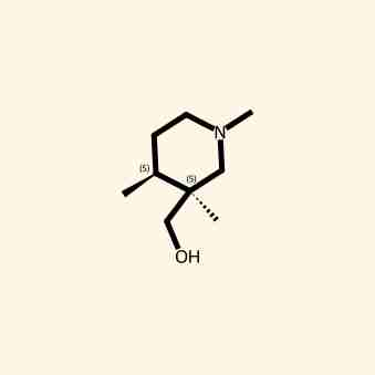 C[C@H]1CCN(C)C[C@@]1(C)CO